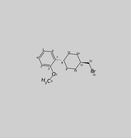 COc1ccccc1[C@H]1CC[C@H](CBr)CC1